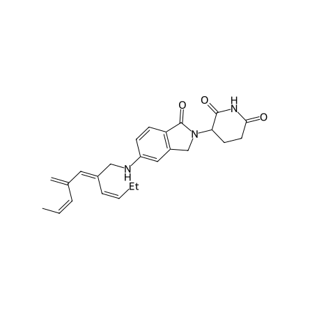 C=C(/C=C\C)/C=C(\C=C/CC)CNc1ccc2c(c1)CN(C1CCC(=O)NC1=O)C2=O